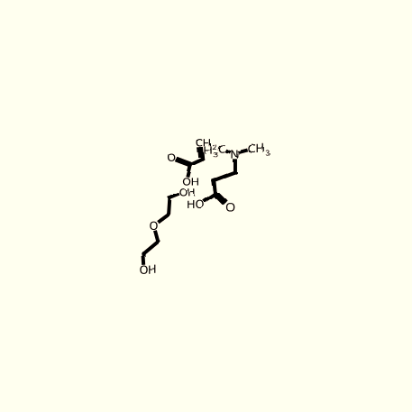 C=CC(=O)O.CN(C)CCC(=O)O.OCCOCCO